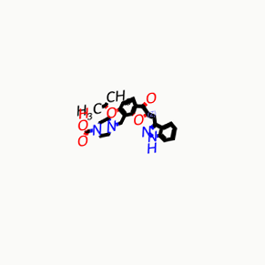 CC(C)Oc1ccc2c(c1CN1CCN(C(=O)O)CC1)O/C(=C\c1n[nH]c3ccccc13)C2=O